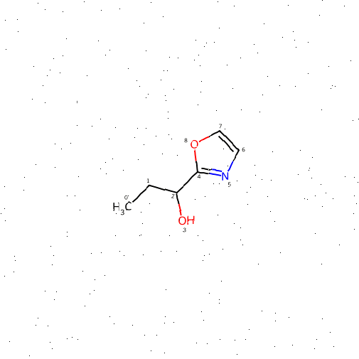 CCC(O)c1ncco1